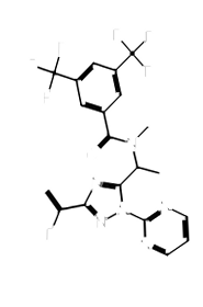 C=C(F)c1nc(C(C)N(C)C(=O)c2cc(C(F)(F)F)cc(C(F)(F)F)c2)n(-c2ncccn2)n1